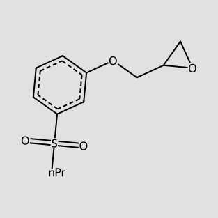 CCCS(=O)(=O)c1cccc(OCC2CO2)c1